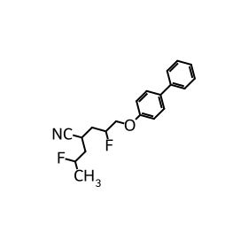 CC(F)CC(C#N)CC(F)COc1ccc(-c2ccccc2)cc1